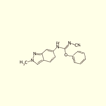 Cn1cc2ccc(N/C(=N/C#N)Oc3ccccc3)cc2n1